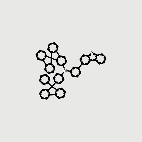 c1ccc(C2(c3ccc(N(c4cccc(-c5ccc6sc7ccccc7c6c5)c4)c4ccc5c(c4)C4(c6ccccc6-c6ccccc64)c4ccccc4-5)cc3)c3ccccc3-c3ccccc32)cc1